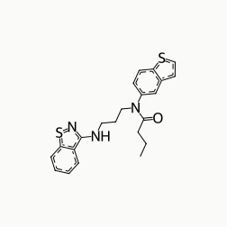 CCCC(=O)N(CCCNc1nsc2ccccc12)c1ccc2sccc2c1